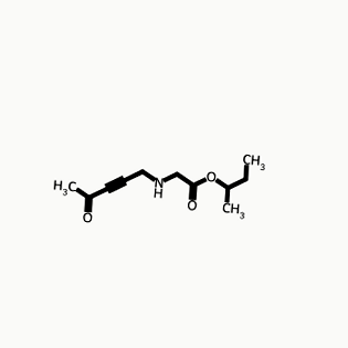 CCC(C)OC(=O)CNCC#CC(C)=O